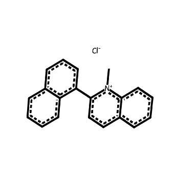 C[n+]1c(-c2cccc3ccccc23)ccc2ccccc21.[Cl-]